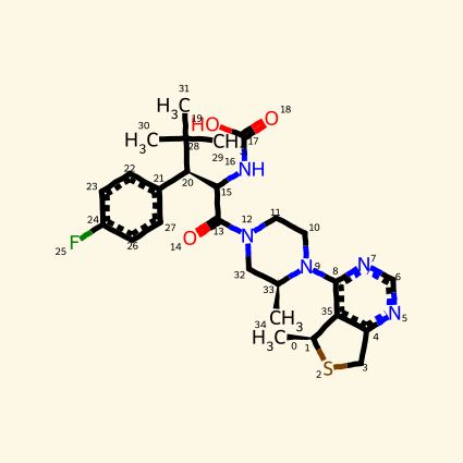 C[C@@H]1SCc2ncnc(N3CCN(C(=O)C(NC(=O)O)[C@@H](c4ccc(F)cc4)C(C)(C)C)C[C@@H]3C)c21